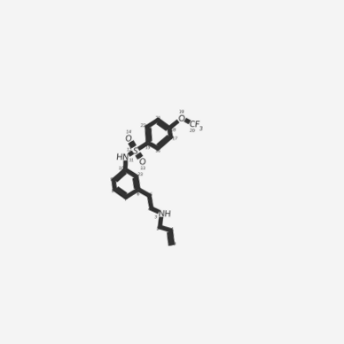 C=CCNCCc1cccc(NS(=O)(=O)c2ccc(OC(F)(F)F)cc2)c1